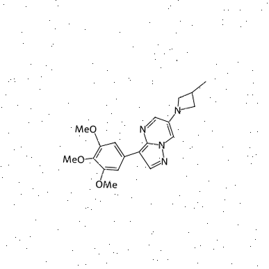 COc1cc(-c2cnn3cc(N4CC(C)C4)cnc23)cc(OC)c1OC